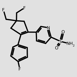 NS(=O)(=O)c1ccc(C2=C(c3ccc(F)cc3)CC(CF)(CF)C2)cn1